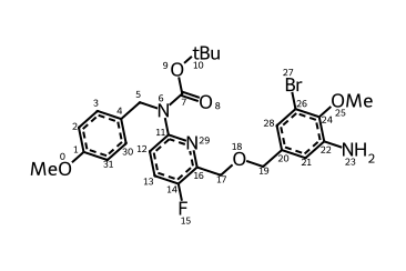 COc1ccc(CN(C(=O)OC(C)(C)C)c2ccc(F)c(COCc3cc(N)c(OC)c(Br)c3)n2)cc1